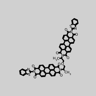 CC(COCC(C)N1C(=O)c2ccc3c4ccc5c6c(ccc(c7ccc(c2c37)C1=O)c64)C(=O)N(c1nc2ccccc2s1)C5=O)N1C(=O)c2ccc3c4ccc5c6c(ccc(c7ccc(c2c37)C1=O)c64)C(=O)N(c1nc2ccccc2s1)C5=O